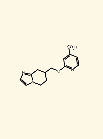 O=C(O)c1ccnc(OCC2CCn3ccnc3C2)c1